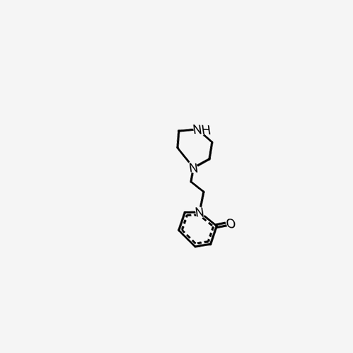 O=c1ccccn1CCN1CCNCC1